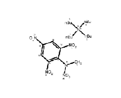 CCCC[N+](CCCC)(CCCC)CCCC.CN(c1c([N+](=O)[O-])cc([N+](=O)[O-])cc1[N+](=O)[O-])[N+](=O)[O-]